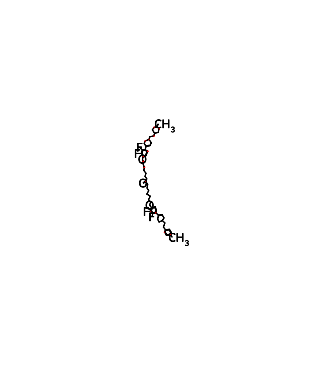 Cc1ccc(CCC2CC=C(c3ccc(OCCCCCCCC(=O)CCCCCCCOc4ccc(C5=CCC(CCC6CCC(C)CC6)CC5)c(F)c4F)c(F)c3F)CC2)cc1